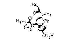 CC[C@H](C)CC(=O)N(C)[C@H](C[C@@H](OC(=O)N(C)C)c1nc(C(=O)O)cs1)C(C)C